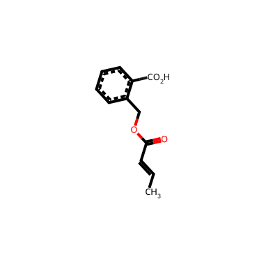 CC=CC(=O)OCc1ccccc1C(=O)O